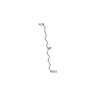 CCCCCCCCCCCCCCCCCCCCN.F